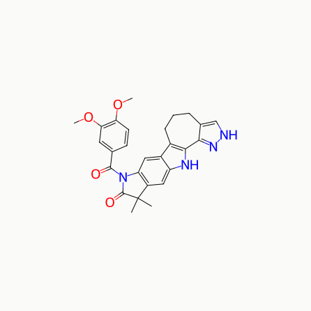 COc1ccc(C(=O)N2C(=O)C(C)(C)c3cc4[nH]c5c(c4cc32)CCCc2c[nH]nc2-5)cc1OC